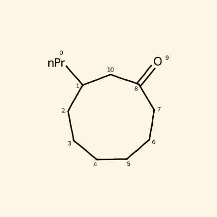 CCCC1CCCCCCC(=O)C1